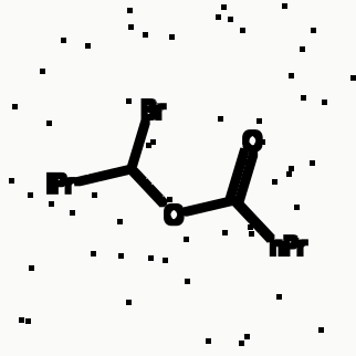 CCCC(=O)OC(Br)C(C)C